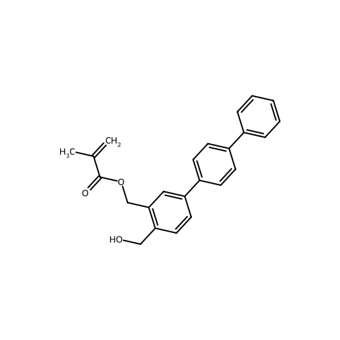 C=C(C)C(=O)OCc1cc(-c2ccc(-c3ccccc3)cc2)ccc1CO